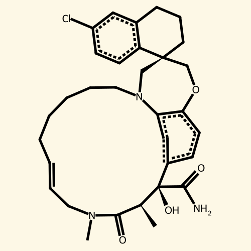 C[C@H]1C(=O)N(C)C/C=C/CCCCCN2C[C@@]3(CCCc4cc(Cl)ccc43)COc3ccc(cc32)[C@]1(O)C(N)=O